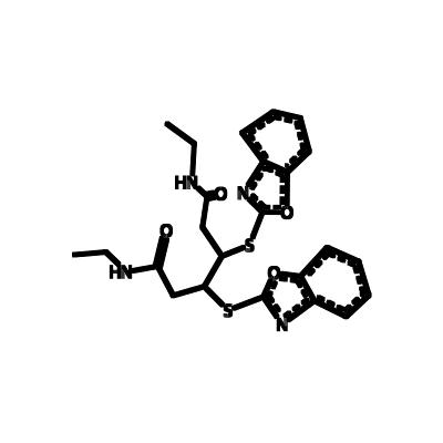 CCNC(=O)CC(Sc1nc2ccccc2o1)C(CC(=O)NCC)Sc1nc2ccccc2o1